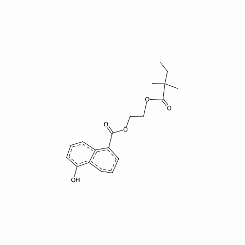 CCC(C)(C)C(=O)OCCOC(=O)c1cccc2c(O)cccc12